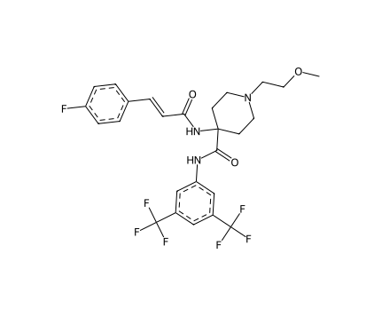 COCCN1CCC(NC(=O)C=Cc2ccc(F)cc2)(C(=O)Nc2cc(C(F)(F)F)cc(C(F)(F)F)c2)CC1